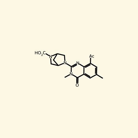 CC(=O)c1cc(C)cc2c(=O)n(C)c(N3CC4CC3CN4C(=O)O)nc12